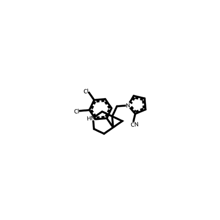 N#Cc1cccn1CC12CNCCC1(c1ccc(Cl)c(Cl)c1)C2